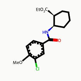 CCOC(=O)[C@H]1CCCC[C@H]1NC(=O)c1ccc(OC)c(Cl)c1